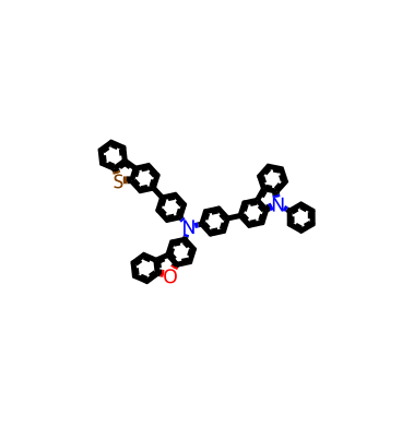 c1ccc(-n2c3ccccc3c3cc(-c4ccc(N(c5ccc(-c6ccc7c(c6)sc6ccccc67)cc5)c5ccc6oc7ccccc7c6c5)cc4)ccc32)cc1